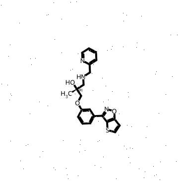 C[C@@](O)(CNCc1ccccn1)COc1cccc(-c2noc3ccsc23)c1